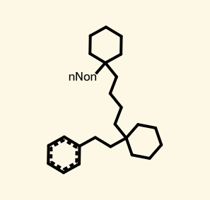 CCCCCCCCCC1(CCCCC2(CCc3ccccc3)CCCCC2)CCCCC1